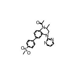 CC(=O)N1c2ccc(-c3ccc(S(C)(=O)=O)cc3)cc2N(c2ncccn2)CC1C